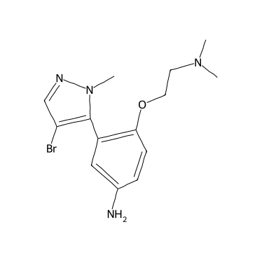 CN(C)CCOc1ccc(N)cc1-c1c(Br)cnn1C